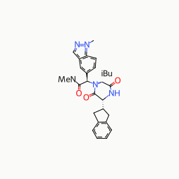 CC[C@H](C)[C@H]1C(=O)N[C@H](C2Cc3ccccc3C2)C(=O)N1[C@@H](C(=O)NC)c1ccc2c(cnn2C)c1